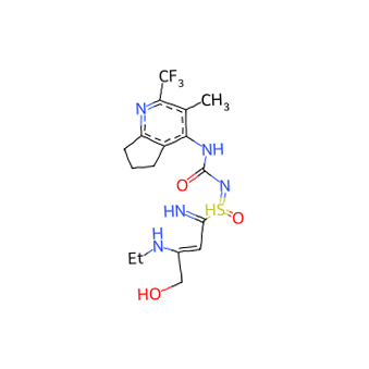 CCN/C(=C\C(=N)/[SH](=O)=N\C(=O)Nc1c(C)c(C(F)(F)F)nc2c1CCC2)CO